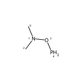 CN(C)OP